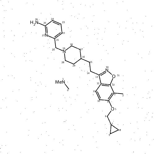 CNC.Cc1c(OCC2CC2)ccc2c(CCC3CCN(Cc4cccc(N)n4)CC3)noc12